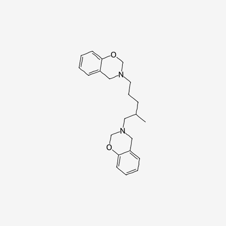 CC(CCCN1COc2ccccc2C1)CN1COc2ccccc2C1